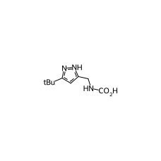 CC(C)(C)c1cc(CNC(=O)O)[nH]n1